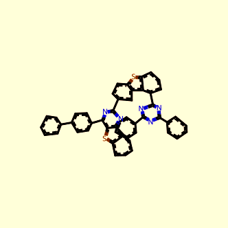 c1ccc(-c2ccc(-c3nc(-c4ccc5sc6cccc(-c7nc(-c8ccccc8)nc(-c8ccccc8)n7)c6c5c4)nc4c3sc3ccccc34)cc2)cc1